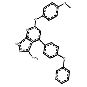 COc1ccc(Oc2cc(-c3ccc(Oc4ccccc4)cc3)c3c(N)n[nH]c3n2)cc1